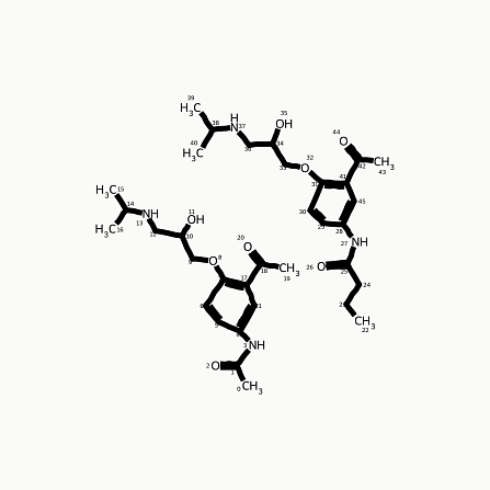 CC(=O)Nc1ccc(OCC(O)CNC(C)C)c(C(C)=O)c1.CCCC(=O)Nc1ccc(OCC(O)CNC(C)C)c(C(C)=O)c1